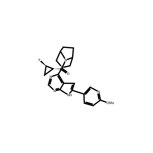 COc1ccc(-c2cc3c(N4CC5CCC(C4)N5C(=O)[C@@H]4C[C@H]4F)ncnc3[nH]2)cn1